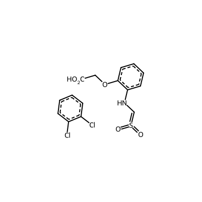 Clc1ccccc1Cl.O=C(O)COc1ccccc1NC=S(=O)=O